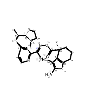 C[C@H](Oc1ccnc(/C(N)=N/OC(=O)[C@@]2(C)CCCc3sc(N)c(C#N)c32)n1)[C@@H]1CCCN1C